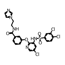 O=C(NCCn1ccnc1)c1cccc(Oc2ncc(Cl)cc2NS(=O)(=O)c2ccc(Cl)c(Cl)c2)c1